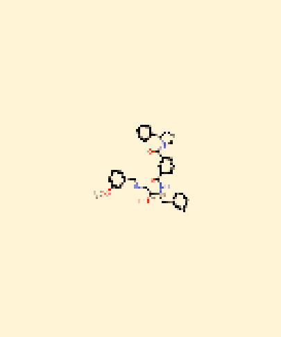 O=C(N[C@@H](Cc1ccccc1)[C@@H](O)CNCc1cccc(OC(F)(F)F)c1)c1cccc(C(=O)N2CCCC2c2ccccc2)c1